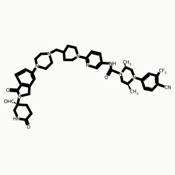 C[C@@H]1CN(c2ccc(C#N)c(C(F)(F)F)c2)[C@@H](C)CN1C(=O)Nc1ccc(N2CCC(CN3CCN(c4ccc5c(c4)CN([C@@]4(C=O)CCC(=O)NC4)C5=O)CC3)CC2)nc1